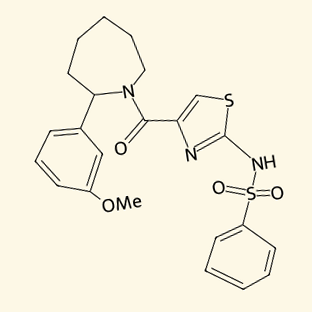 COc1cccc(C2CCCCCN2C(=O)c2csc(NS(=O)(=O)c3ccccc3)n2)c1